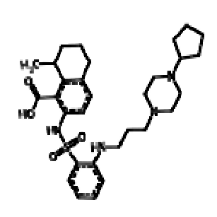 CC1CCCc2ccc(NS(=O)(=O)c3ccccc3NCCCN3CCN(C4CCCC4)CC3)c(C(=O)O)c21